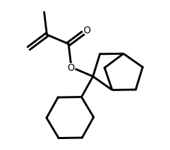 C=C(C)C(=O)OC1(C2CCCCC2)CC2CCC1C2